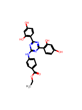 CCOC(=O)c1ccc(Nc2nc(-c3ccc(O)cc3O)nc(-c3ccc(O)cc3O)n2)cc1